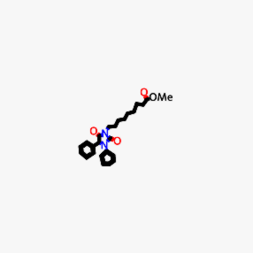 COC(=O)CCCCCCCCN1C(=O)C(c2ccccc2)N(c2ccccc2)C1=O